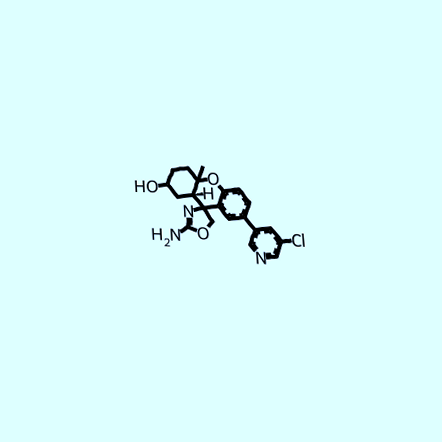 CC12CCC(O)C[C@H]1C1(COC(N)=N1)c1cc(-c3cncc(Cl)c3)ccc1O2